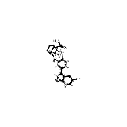 COC(=O)[C@@H]1C2CCC(CC2)[C@H]1Nc1nc(-c2n[nH]c3ncc(F)cc23)ncc1F